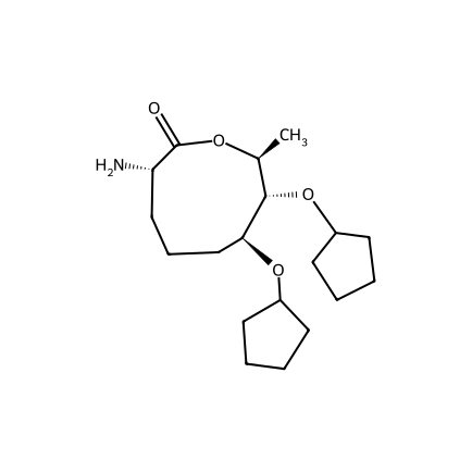 C[C@@H]1OC(=O)[C@@H](N)CCC[C@H](OC2CCCC2)[C@H]1OC1CCCC1